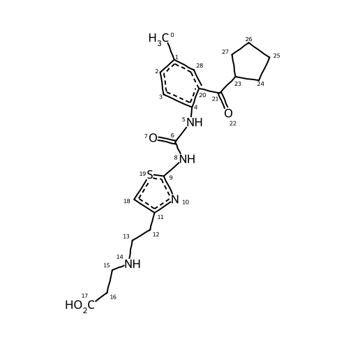 Cc1ccc(NC(=O)Nc2nc(CCNCCC(=O)O)cs2)c(C(=O)C2CCCC2)c1